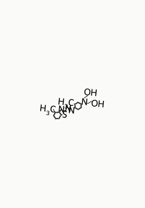 Cc1cc(N(CCO)CCO)ccc1N=Nc1nc2c(C)cccc2s1